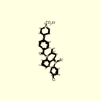 CCOC(=O)N1CCC(c2ccc(C(=O)N3c4ccccc4C(N(C(C)=O)c4ccc(Cl)cc4)CC3C)cc2)CC1